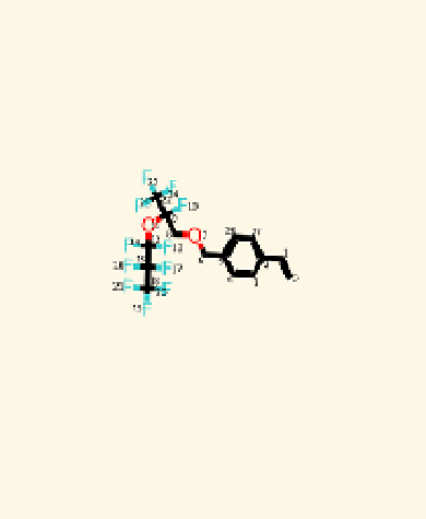 C=Cc1ccc(COCC(F)(OC(F)(F)C(F)(F)C(F)(F)F)C(F)(F)F)cc1